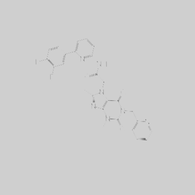 Cc1nc2c(c(=O)n(Cc3ccccn3)c(=O)n2C)n1CC(=O)Nc1cccc(-c2ccc(F)c(F)c2)n1